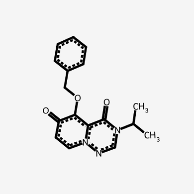 CC(C)n1cnn2ccc(=O)c(OCc3ccccc3)c2c1=O